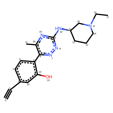 C#Cc1ccc(-c2nnc(N[C@@H]3CCCN(CC)C3)nc2C)c(O)c1